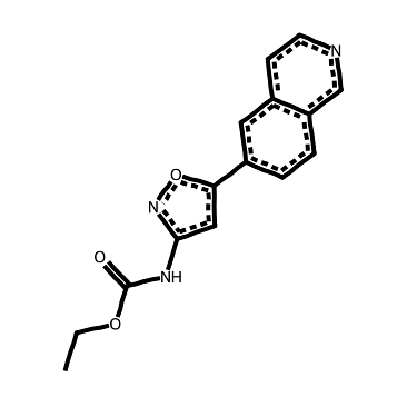 CCOC(=O)Nc1cc(-c2ccc3cnccc3c2)on1